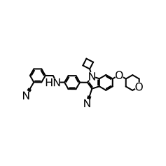 N#Cc1cccc(CNc2ccc(-c3c(C#N)c4ccc(OC5CCOCC5)cc4n3C3CCC3)cc2)c1